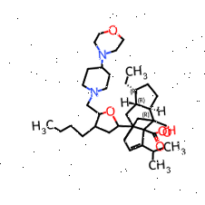 CCCCC1CC(C23C[C@@H]4[C@H](CC)CC[C@H]4C4(C=O)CC2C=C(C(C)C)C34C(=O)O)OC1CN1CCC(N2CCOCC2)CC1